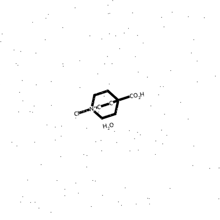 O.O=C(O)C12CC[N+](Cl)(CC1)CC2